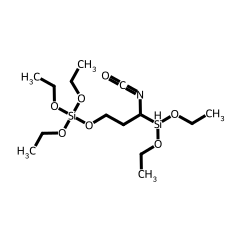 CCO[SiH](OCC)C(CCO[Si](OCC)(OCC)OCC)N=C=O